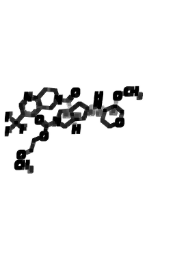 COCCOC(=O)N1C[C@@H]2C[C@@H](N[C@H]3CCOC[C@H]3OC)C[C@]2(C(=O)N2CCc3ncc(C(F)(F)F)cc3C2)C1